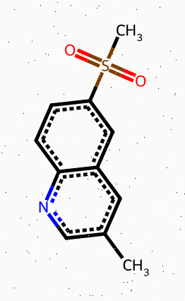 Cc1cnc2ccc(S(C)(=O)=O)cc2c1